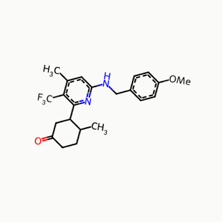 COc1ccc(CNc2cc(C)c(C(F)(F)F)c(C3CC(=O)CCC3C)n2)cc1